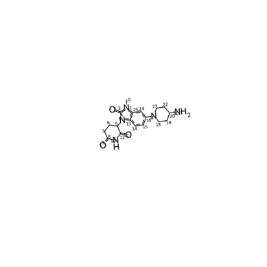 Cn1c(=O)n(C2CCC(=O)NC2=O)c2ccc(N3CCC(N)CC3)cc21